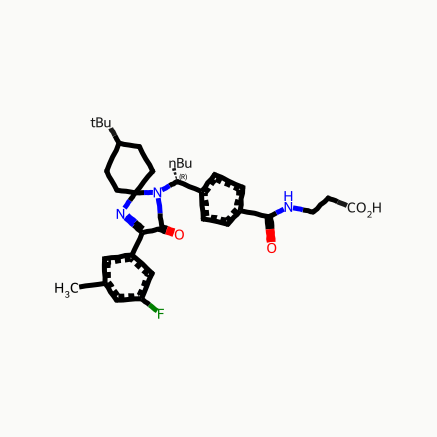 CCCC[C@H](c1ccc(C(=O)NCCC(=O)O)cc1)N1C(=O)C(c2cc(C)cc(F)c2)=NC12CCC(C(C)(C)C)CC2